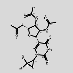 CC(=O)C[C@H]1O[C@@H](c2cn(C3CC3(F)F)c(=O)[nH]c2=O)[C@H](OC(C)=O)[C@@H]1OC(C)=O